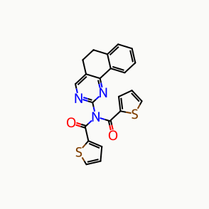 O=C(c1cccs1)N(C(=O)c1cccs1)c1ncc2c(n1)-c1ccccc1CC2